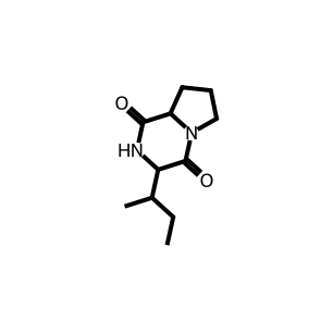 CCC(C)C1NC(=O)C2CCCN2C1=O